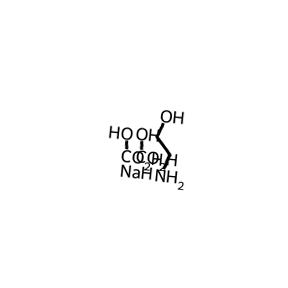 NCCO.O=C(O)O.O=C(O)O.[NaH]